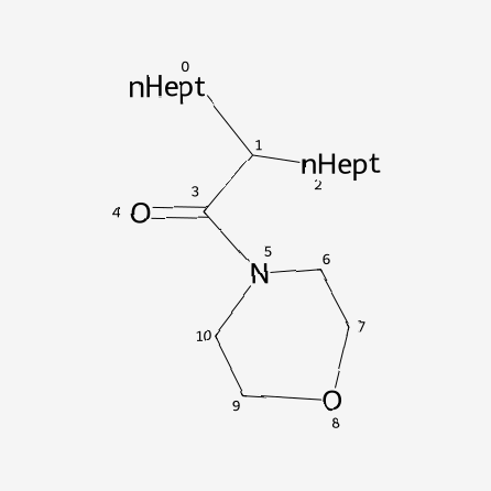 CCCCCCCC(CCCCCCC)C(=O)N1CCOCC1